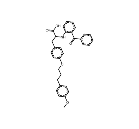 COc1ccc(CCCOc2ccc(CC(Nc3ccccc3C(=O)c3ccccc3)C(=O)O)cc2)cc1